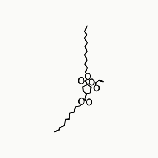 C=CC(=O)OC1(C(=O)OCCCCCCCCCCCC)CCC(C(=O)OCCCCCCCCCC)CC1